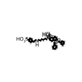 CCCN(CCCCCCNCCc1ccc(S(=O)(=O)O)cc1)[C@H]1CCc2c(ccc(OCc3ccccc3)c2OCc2ccccc2)C1.Cl.Cl